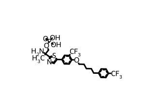 CC(N)(COP(=O)(O)O)c1ncc(-c2ccc(OCCCCCc3ccc(C(F)(F)F)cc3)c(C(F)(F)F)c2)s1